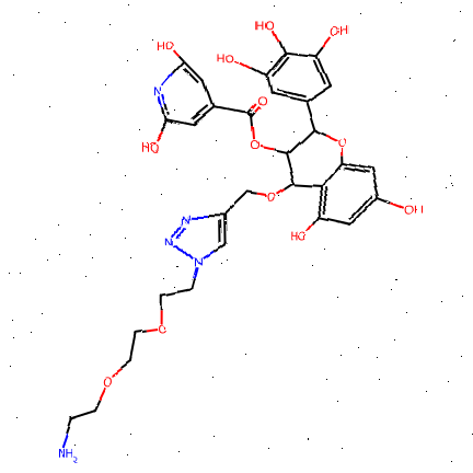 NCCOCCOCCn1cc(COC2c3c(O)cc(O)cc3OC(c3cc(O)c(O)c(O)c3)C2OC(=O)c2cc(O)nc(O)c2)nn1